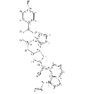 C=CCn1ccc2cccc(C(=O)N3CC(CN4CCC(c5ccc(F)cc5)CC4)C(c4ccsc4)C3)c21